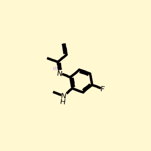 C=C/C(C)=N\c1ccc(F)cc1NC